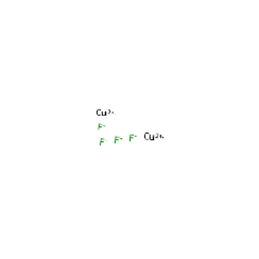 [Cu+2].[Cu+2].[F-].[F-].[F-].[F-]